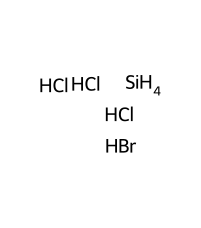 Br.Cl.Cl.Cl.[SiH4]